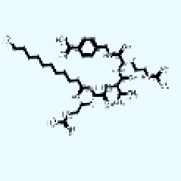 CCCCCCCCCCCC(=O)N[C@@H](CCCNC(=N)N)C(=O)NC(C(=O)N[C@@H](CCCNC(=N)N)C(=O)NCc1ccc(C(=N)N)cc1)C(C)C